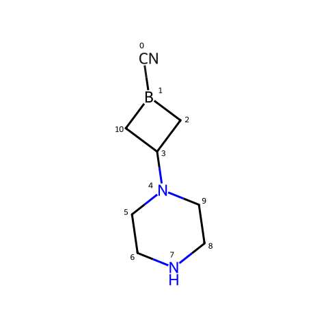 N#CB1CC(N2CCNCC2)C1